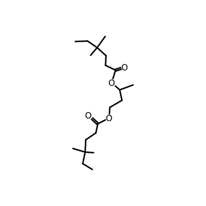 CCC(C)(C)CCC(=O)OCCC(C)OC(=O)CCC(C)(C)CC